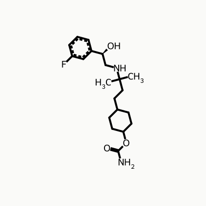 CC(C)(CCC1CCC(OC(N)=O)CC1)NC[C@H](O)c1cccc(F)c1